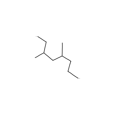 [CH2]CCC(C)CC(C)C[CH2]